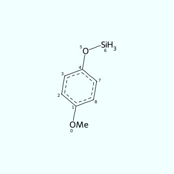 COc1ccc(O[SiH3])cc1